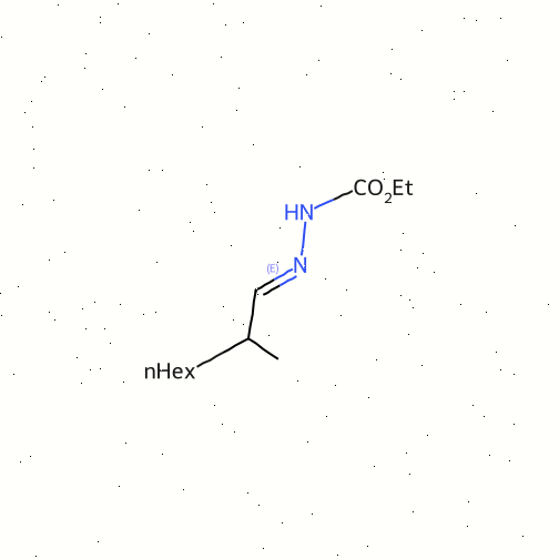 CCCCCCC(C)/C=N/NC(=O)OCC